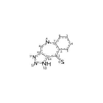 S=c1c2ccccc2ncc2nn[nH]c12